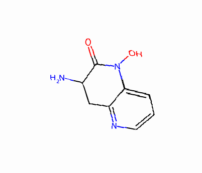 NC1Cc2ncccc2N(O)C1=O